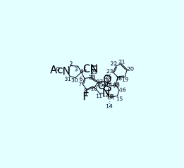 CC(=O)N1CCC(C#N)(c2cc(F)c(CN3[C@@H](C)CC[C@H](c4ccccc4)S3(=O)=O)cc2F)CC1